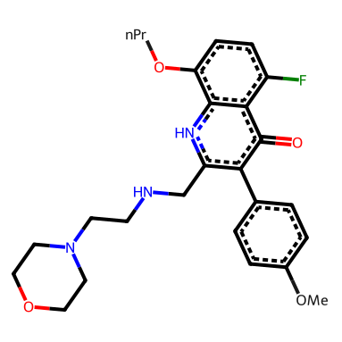 CCCOc1ccc(F)c2c(=O)c(-c3ccc(OC)cc3)c(CNCCN3CCOCC3)[nH]c12